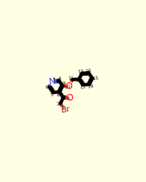 O=C(CBr)c1ccncc1OCc1ccccc1